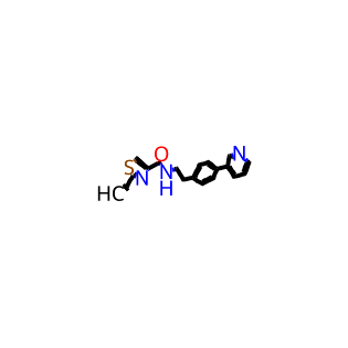 C#Cc1nc(C(=O)NCCc2ccc(-c3cccnc3)cc2)cs1